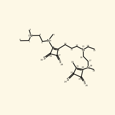 CCN(C)CCN(C)c1c(CCCN(CC)CCN(C)c2c(C)c(=S)c2=S)c(=S)c1=S